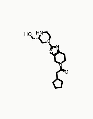 O=C(CC1CCCC1)N1CCc2nc(N3CCN[C@@H](CO)C3)sc2C1